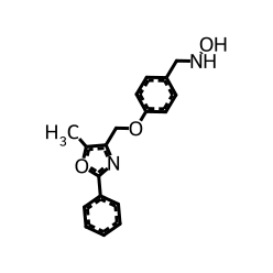 Cc1oc(-c2ccccc2)nc1COc1ccc(CNO)cc1